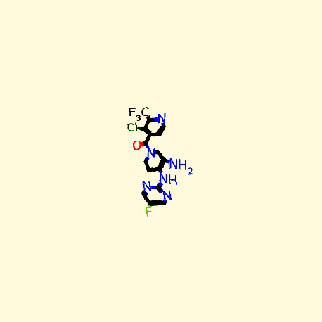 NC1=C(Nc2ncc(F)cn2)CCN(C(=O)c2ccnc(C(F)(F)F)c2Cl)C1